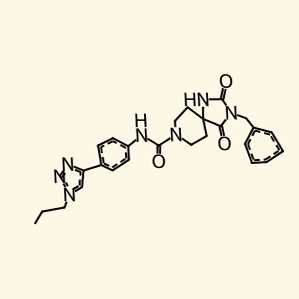 CCCn1cc(-c2ccc(NC(=O)N3CCC4(CC3)NC(=O)N(Cc3ccccc3)C4=O)cc2)nn1